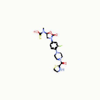 CN(C(O)=S)C1CN(c2ccc(N3CCN(C(=O)C4NCCS4)CC3)c(F)c2)C(=O)O1